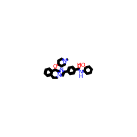 CN1CCC(OC2c3ccccc3CCn3cc(-c4ccc(C(=O)NC5CCCCC5O)cc4)nc32)CC1